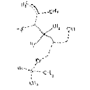 C=C(C)C(C)C(C)(C)C(CO)CO[Si](C)(C)C(C)(C)C